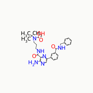 CC(C)(C)N(CCCNC(=O)c1nc(-c2cccc(C(=O)NCc3ccccc3)c2)cnc1N)C(=O)O